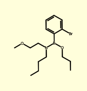 CCCCN(CCOC)B(OCCC)c1ccccc1Br